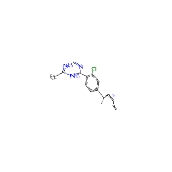 C=C/C=C\C(C)c1ccc(/C(N=C)=N/C(=N)CC)c(Cl)c1